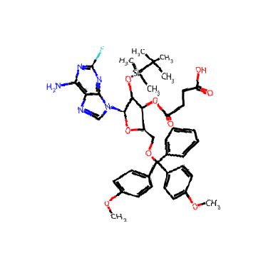 COc1ccc(C(OC[C@H]2O[C@@H](n3cnc4c(N)nc(F)nc43)C(O[Si](C)(C)C(C)(C)C)C2OC(=O)CCC(=O)O)(c2ccccc2)c2ccc(OC)cc2)cc1